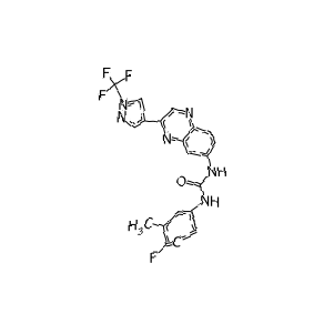 Cc1cc(NC(=O)Nc2ccc3ncc(-c4cnn(C(F)(F)F)c4)nc3c2)ccc1F